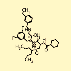 CCCC(CCC)S(=O)(=O)CC(NC(=O)C1CCCCC1)C(=O)N[C@@H](Cc1cc(F)cc(F)c1)[C@H](O)CNCc1cccc(CC)c1